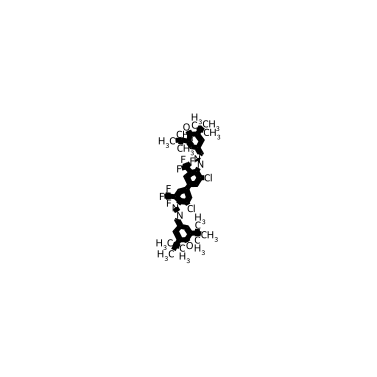 CC(C)(C)C1=CC(=C/N=N/c2c(Cl)cc(-c3cc(Cl)c(/N=N/C=C4C=C(C(C)(C)C)C(=O)C(C(C)(C)C)=C4)c(C(F)(F)F)c3)cc2C(F)(F)F)C=C(C(C)(C)C)C1=O